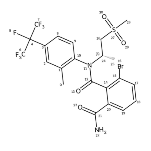 Cc1cc(C(F)(C(F)(F)F)C(F)(F)F)ccc1N(C(=O)c1c(Br)cccc1C(N)=O)[C@@H](C)CS(C)(=O)=O